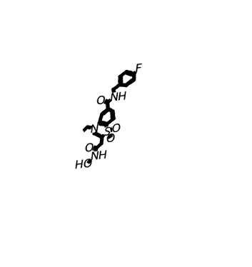 CCN1CC(CC(=O)NO)S(=O)(=O)c2ccc(C(=O)NCc3ccc(F)cc3)cc21